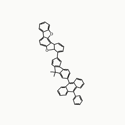 CC1(C)c2ccc(C3=CC=CC4c5c(ccc6c5oc5ccccc56)OC34)cc2-c2ccc(-c3c4ccccc4c(-c4ccccc4)c4ccccc34)cc21